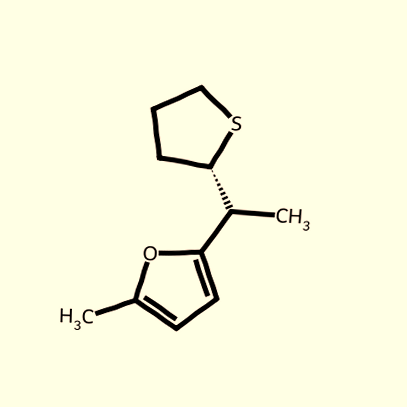 Cc1ccc(C(C)[C@@H]2CCCS2)o1